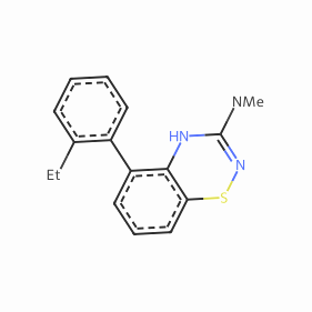 CCc1ccccc1-c1cccc2c1NC(NC)=NS2